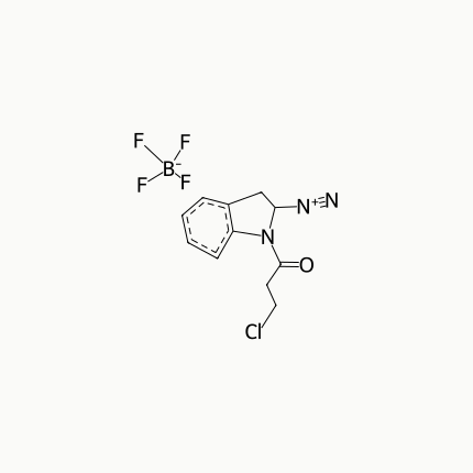 F[B-](F)(F)F.N#[N+]C1Cc2ccccc2N1C(=O)CCCl